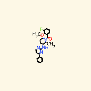 COc1c(F)cccc1C(=O)N1CCC[C@@H](Nc2nccc(-c3ccccc3)n2)[C@@H]1C